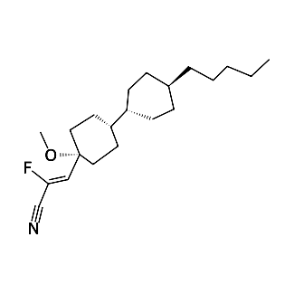 CCCCC[C@H]1CC[C@H]([C@H]2CC[C@@](C=C(F)C#N)(OC)CC2)CC1